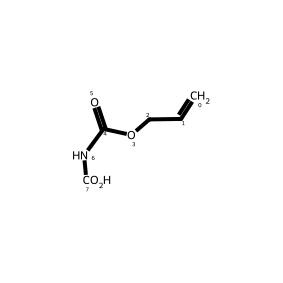 C=CCOC(=O)NC(=O)O